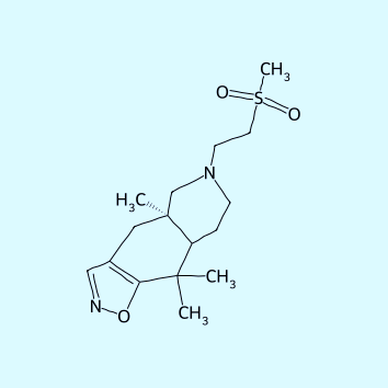 CC1(C)c2oncc2C[C@@]2(C)CN(CCS(C)(=O)=O)CCC12